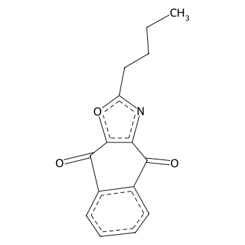 CCCCc1nc2c(o1)C(=O)c1ccccc1C2=O